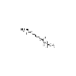 C=CC(=O)OCCCCOC(=O)NOC(C)=O